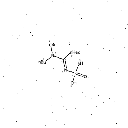 CCCCCC/C(=N\P(=O)(O)S)N(CCCC)CCCC